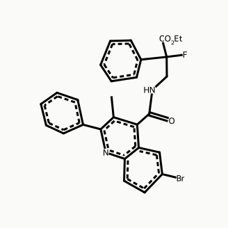 CCOC(=O)C(F)(CNC(=O)c1c(C)c(-c2ccccc2)nc2ccc(Br)cc12)c1ccccc1